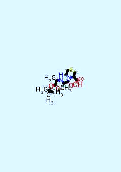 CC(NC(C)C(=O)N1CCSCC1C(=O)O)C(=O)OC(C)(C)C